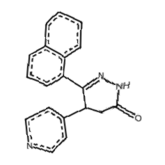 O=C1CC(c2ccncc2)C(c2cccc3ccccc23)=NN1